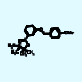 COc1ccc(COc2cccc(B3OC(C)(C)C(C)(C)O3)c2)cc1